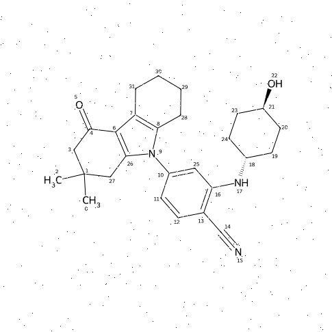 CC1(C)CC(=O)c2c3c(n(-c4ccc(C#N)c(N[C@H]5CC[C@H](O)CC5)c4)c2C1)CCCC3